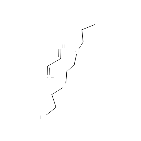 C=CC=C.OCCOCCOCCO